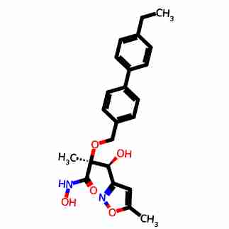 CCc1ccc(-c2ccc(CO[C@](C)(C(=O)NO)[C@@H](O)c3cc(C)on3)cc2)cc1